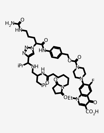 CCn1cc(C(=O)O)c(=O)c2cc(F)c(N3CCN(C(=O)OCc4ccc(NC(=O)C(CCCNC(N)=O)n5cc(C(NCC(CC(C)C)NC(=O)CCCCCN6C(=O)CCC6=O)C(C)C)nn5)cc4)CC3)cc21